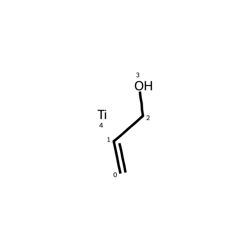 C=CCO.[Ti]